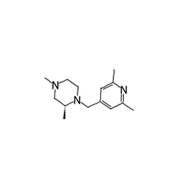 Cc1cc(CN2CCN(C)C[C@@H]2C)cc(C)n1